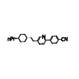 CCC[C@H]1CC[C@H](CCc2ccc(-c3ccc(C#N)cc3)nc2)CC1